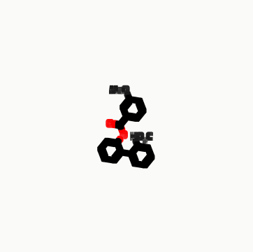 COc1cccc(C(=O)Oc2ccccc2-c2ccccc2C(=O)O)c1